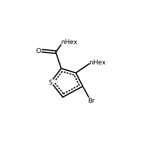 CCCCCCC(=O)c1scc(Br)c1CCCCCC